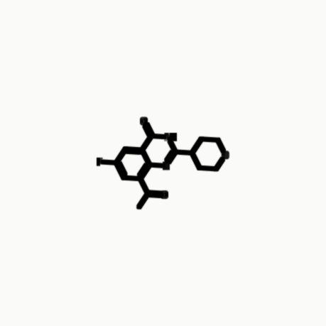 CC(=O)c1cc(F)cc2c(=O)[nH]c(C3CCOCC3)nc12